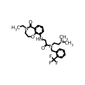 CCN1CCOc2c(NCC(=O)N(CCN(C)C)Cc3ccccc3C(F)(F)F)cccc2C1=O